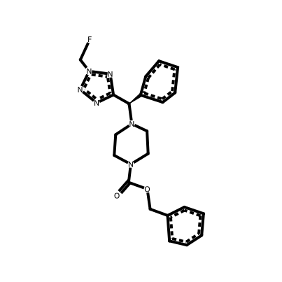 O=C(OCc1ccccc1)N1CCN([C@H](c2ccccc2)c2nnn(CF)n2)CC1